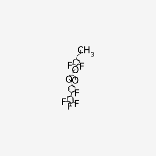 CCCc1cc(F)c(OC[C@H]2CO[C@H](c3ccc(-c4cc(F)c(F)c(F)c4)c(F)c3)OC2)c(F)c1